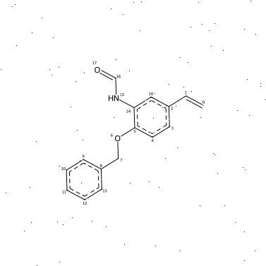 C=Cc1ccc(OCc2ccccc2)c(NC=O)c1